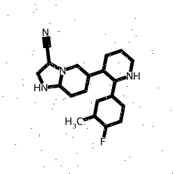 CC1CC(C2NCCCC2C2CCC3NCC(C#N)N3C2)CCC1F